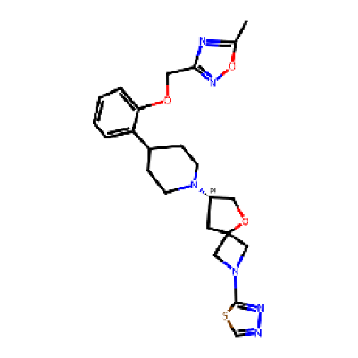 Cc1nc(COc2ccccc2C2CCN([C@@H]3COC4(C3)CN(c3nncs3)C4)CC2)no1